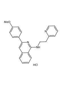 COc1ccc(-c2cc3ccccc3c(NCCc3ccccn3)n2)cc1.Cl